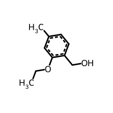 CCOc1cc(C)ccc1CO